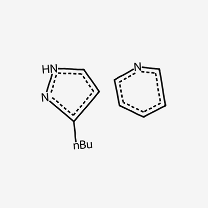 CCCCc1cc[nH]n1.c1ccncc1